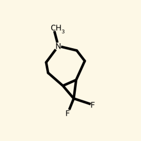 CN1CCC2C(CC1)C2(F)F